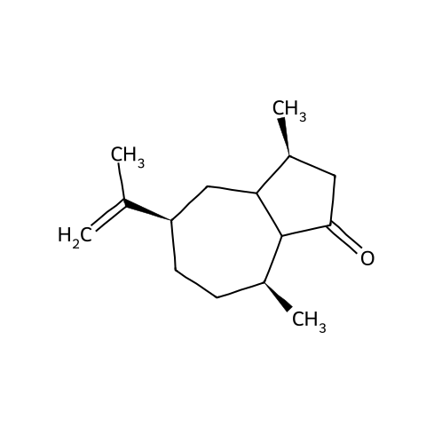 C=C(C)[C@@H]1CC[C@H](C)C2C(=O)C[C@H](C)C2C1